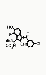 CC[C@@H](C)C(C(=O)O)c1c(C)n(C(=O)c2cccc(Cl)c2)c2ccc(O)c(F)c12